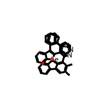 Cc1cc2c(c(-c3nnnc(-c4ccccc4)c3-c3[se]c4ccccc4c3-c3ccccc3-c3ccccc3)c1C)Cc1ccccc1-2